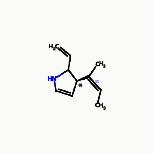 C=CC1NC=C[C@@H]1/C(C)=C\C